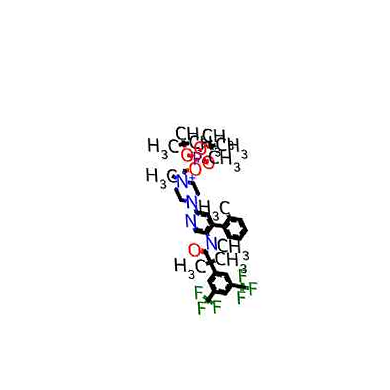 Cc1ccccc1-c1cc(N2CC[N+](C)(COP(=O)(OC(C)(C)C)OC(C)(C)C)CC2)ncc1N(C)C(=O)C(C)(C)c1cc(C(F)(F)F)cc(C(F)(F)F)c1